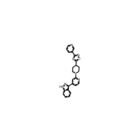 c1cncc(-c2noc(C3CCN(c4cc(-c5n[nH]c6ccccc56)ccn4)CC3)n2)c1